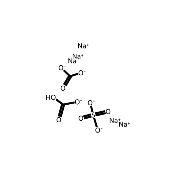 O=C([O-])O.O=C([O-])[O-].O=S(=O)([O-])[O-].[Na+].[Na+].[Na+].[Na+].[Na+]